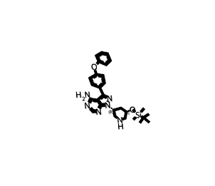 CC(C)(C)[Si](C)(C)O[C@H]1CNC[C@H](n2nc(-c3ccc(Oc4ccccc4)cc3)c3c(N)ncnc32)C1